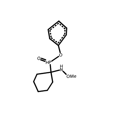 CONC1([PH](=O)Oc2ccccc2)CCCCC1